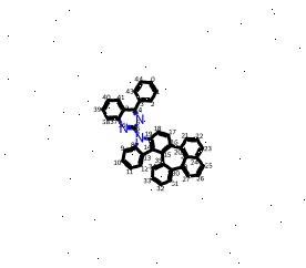 c1ccc(-c2nc(-n3c4ccccc4c4c5c(ccc43)-c3cccc4cccc(c34)-c3ccccc3-5)nc3ccccc23)cc1